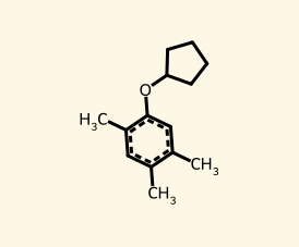 Cc1cc(C)c(OC2CCCC2)cc1C